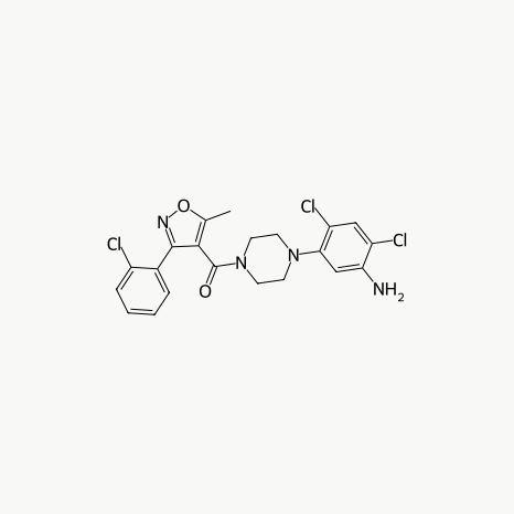 Cc1onc(-c2ccccc2Cl)c1C(=O)N1CCN(c2cc(N)c(Cl)cc2Cl)CC1